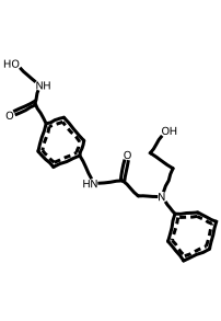 O=C(CN(CCO)c1ccccc1)Nc1ccc(C(=O)NO)cc1